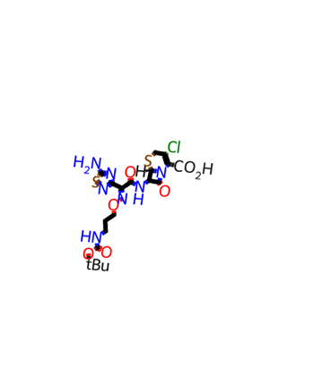 CC(C)(C)OC(=O)NCCCON=C(C(=O)NC1C(=O)N2C(C(=O)O)=C(Cl)CS[C@@H]12)c1nsc(N)n1